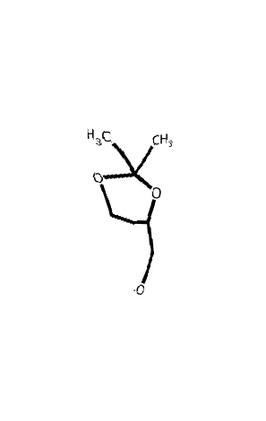 CC1(C)OCC(C[O])O1